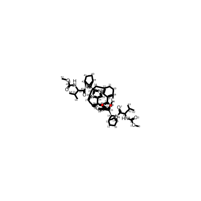 COC(=O)NC(C(=O)N1C2CCC(C2)[C@H]1c1nc(C2=C3CCC(=C2)CCC=Cc2ccc(cc2-c2c[nH]c([C@@H]4C5CCC(C5)N4C(=O)C(NC(=O)OC)C(C)C)n2)CC3)c[nH]1)C(C)C